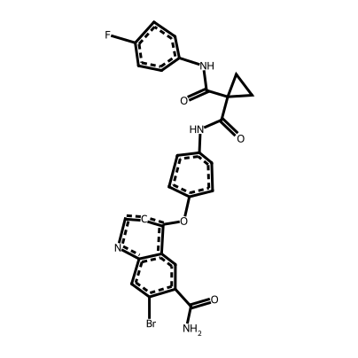 NC(=O)c1cc2c(Oc3ccc(NC(=O)C4(C(=O)Nc5ccc(F)cc5)CC4)cc3)ccnc2cc1Br